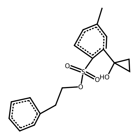 Cc1ccc(S(=O)(=O)OCCc2ccccc2)c(C2(O)CC2)c1